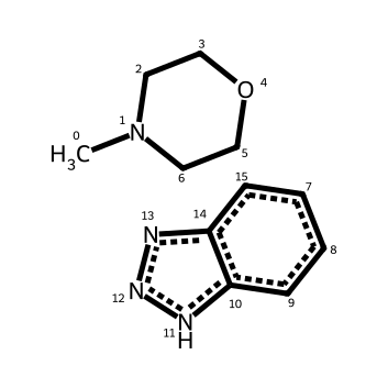 CN1CCOCC1.c1ccc2[nH]nnc2c1